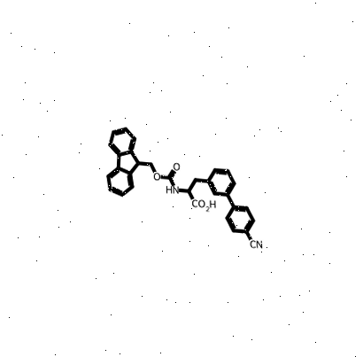 N#Cc1ccc(-c2cccc(CC(NC(=O)OCC3c4ccccc4-c4ccccc43)C(=O)O)c2)cc1